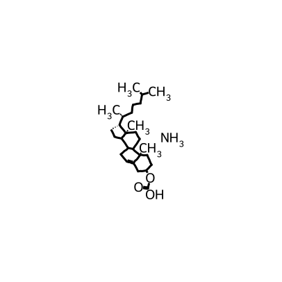 CC(C)CCC[C@@H](C)[C@H]1CCC2C3CC=C4CC(OC(=O)O)CC[C@]4(C)C3CC[C@@]21C.N